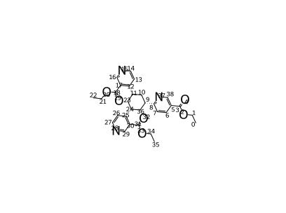 CCOC(=O)c1ccc([C@H]2C[C@@H](c3ccncc3C(=O)OCC)C[C@@H](c3ccncc3C(=O)OCC)C2)nc1